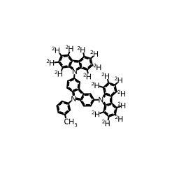 [2H]c1c([2H])c([2H])c2c(c1[2H])c1c([2H])c([2H])c([2H])c([2H])c1n2-c1ccc2c(c1)c1cc(-n3c4c([2H])c([2H])c([2H])c([2H])c4c4c([2H])c([2H])c([2H])c([2H])c43)ccc1n2-c1cccc(C)c1